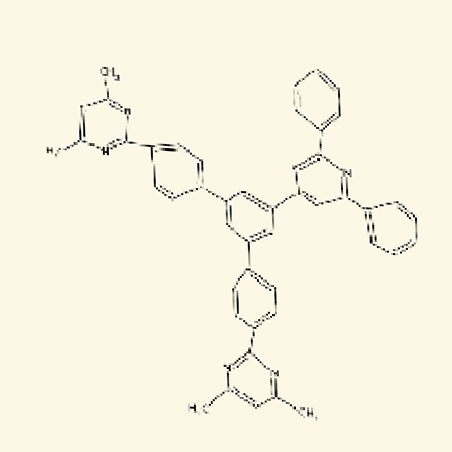 Cc1cc(C)nc(-c2ccc(-c3cc(-c4ccc(-c5nc(C)cc(C)n5)cc4)cc(-c4cc(-c5ccccc5)nc(-c5ccccc5)c4)c3)cc2)n1